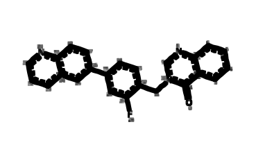 O=c1c2ccccc2ncn1Cc1ccc(-c2ccc3ncccc3c2)cc1F